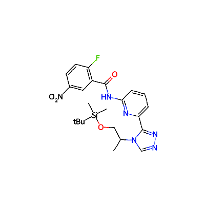 CC(CO[Si](C)(C)C(C)(C)C)n1cnnc1-c1cccc(NC(=O)c2cc([N+](=O)[O-])ccc2F)n1